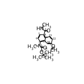 CNC(=O)c1ccc(N(C)C(=O)OC(C)(C)C)c2cc(OC)ccc12